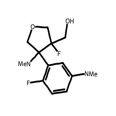 CNc1ccc(F)c(C2(NC)COCC2(F)CO)c1